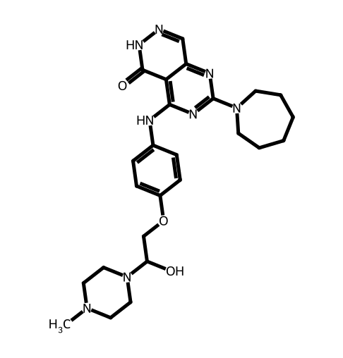 CN1CCN(C(O)COc2ccc(Nc3nc(N4CCCCCC4)nc4cn[nH]c(=O)c34)cc2)CC1